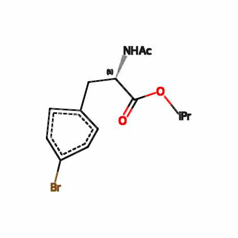 CC(=O)N[C@@H](Cc1ccc(Br)cc1)C(=O)OC(C)C